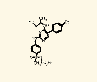 CCOC(=O)N=S(C)(=O)c1ccc(Nc2ncc(-c3ccc(CC)cc3)c(N[C@H](C)CO)n2)cc1